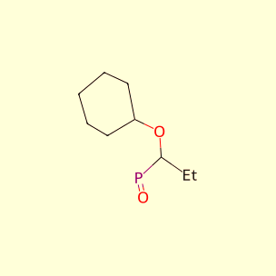 CCC(OC1CCCCC1)P=O